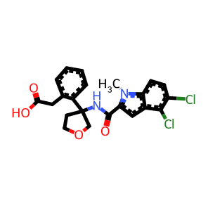 Cn1c(C(=O)NC2(c3ccccc3CC(=O)O)CCOC2)cc2c(Cl)c(Cl)ccc21